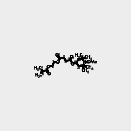 C=C(C)C(=O)OCCOC(=O)CCC(=O)OC1CC(C)(C)N(OC)C(C)(C)C1